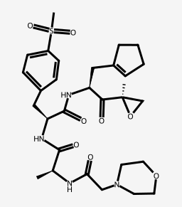 C[C@H](NC(=O)CN1CCOCC1)C(=O)N[C@@H](Cc1ccc(S(C)(=O)=O)cc1)C(=O)N[C@@H](CC1=CCCC1)C(=O)[C@@]1(C)CO1